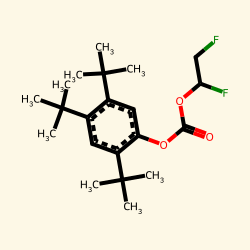 CC(C)(C)c1cc(C(C)(C)C)c(C(C)(C)C)cc1OC(=O)OC(F)CF